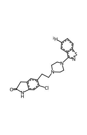 [2H]c1ccc2snc(N3CCN(CCc4cc5c(cc4Cl)NC(=O)C5)CC3)c2c1